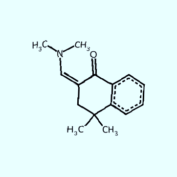 CN(C)/C=C1/CC(C)(C)c2ccccc2C1=O